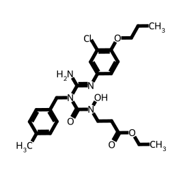 CCCOc1ccc(/N=C(\N)N(Cc2ccc(C)cc2)C(=O)N(O)CCC(=O)OCC)cc1Cl